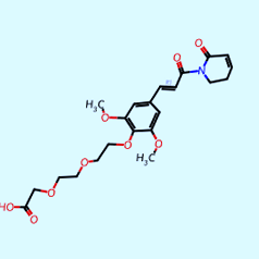 COc1cc(/C=C/C(=O)N2CCC=CC2=O)cc(OC)c1OCCOCCOCC(=O)O